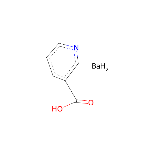 O=C(O)c1cccnc1.[BaH2]